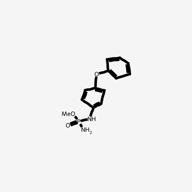 COP(N)(=O)Nc1ccc(Oc2ccccc2)cc1